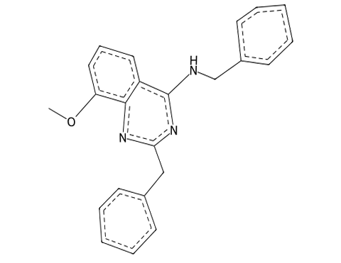 COc1cccc2c(NCc3ccccc3)nc(Cc3ccccc3)nc12